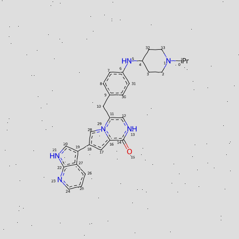 CC(C)N1CCC(Nc2ccc(Cc3c[nH]c(=O)c4cc(-c5c[nH]c6ncccc56)cn34)cc2)CC1